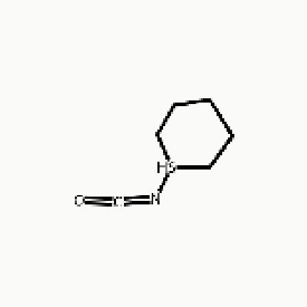 O=C=N[SH]1CCCCC1